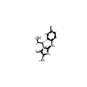 CC(=O)c1sc(=Nc2ccc(C)cc2)n(CCO)c1C